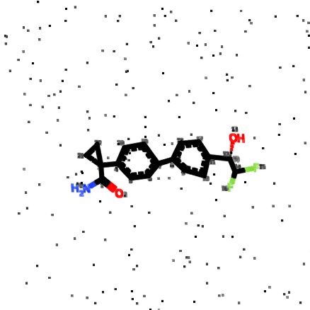 NC(=O)C1(c2ccc(-c3ccc([C@H](O)C(F)F)cc3)cc2)CC1